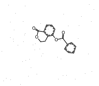 O=C(Oc1cccc2c1CCOC2=O)c1ccccc1